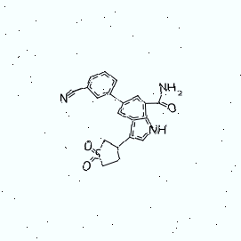 N#Cc1cccc(-c2cc(C(N)=O)c3[nH]cc(C4CCS(=O)(=O)C4)c3c2)c1